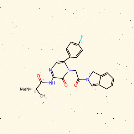 CN[C@@H](C)C(=O)Nc1ncc(-c2ccc(F)cc2)n(CC(=O)N2C=C3CC=CC=C3C2)c1=O